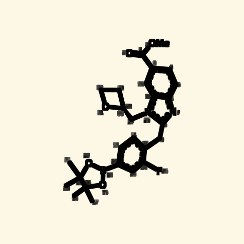 COC(=O)c1ccc2nc(Cc3ccc(B4OC(C)(C)C(C)(C)O4)cc3F)n(C[C@@H]3CCO3)c2c1